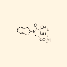 C[C@H](N)C(=O)N(CCC(=O)O)C1Cc2ccccc2C1